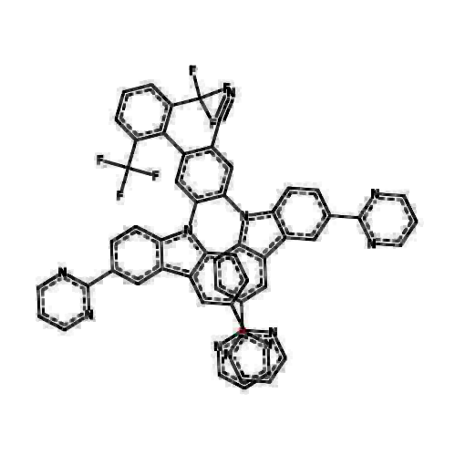 N#Cc1cc(-n2c3ccc(-c4ncccn4)cc3c3cc(-c4ncccn4)ccc32)c(-n2c3ccc(-c4ncccn4)cc3c3cc(-c4ncccn4)ccc32)cc1-c1c(C(F)(F)F)cccc1C(F)(F)F